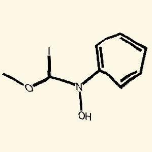 COC(I)N(O)c1ccccc1